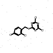 Clc1ccc(CSc2nc(Cl)nc(Cl)n2)c(Cl)c1